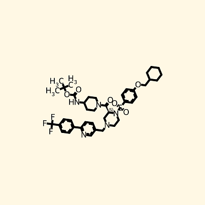 CC(C)(C)OC(=O)NC1CCN(C(=O)[C@@H]2CN(Cc3ccc(-c4ccc(C(F)(F)F)cc4)nc3)CCN2S(=O)(=O)c2ccc(OCC3CCCCC3)cc2)CC1